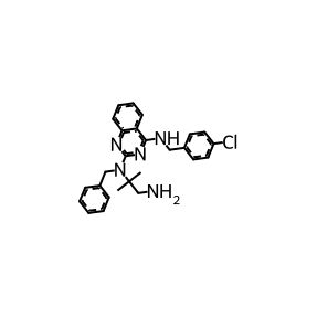 CC(C)(CN)N(Cc1ccccc1)c1nc(NCc2ccc(Cl)cc2)c2ccccc2n1